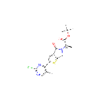 Cc1cnc(Cl)nc1-c1cc2c(s1)CN([C@H](C)C(=O)OC(C)(C)C)C2=O